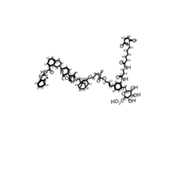 Cc1c(-c2ccc(C3CCc4cccc(C(=O)Nc5nc6ccccc6s5)c4C3)nc2C(=O)O)cnn1CC12CC3CC(C1)CC(OCCN(C)C(=O)OC/C=C/c1ccc(C[C@@H]4O[C@H](C(=O)O)[C@@H](O)[C@H](O)[C@H]4O)c(NC(=O)CCNC(=O)CCCCCN4C(=O)C=CC4=O)c1)(C3)C2